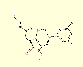 CCCCNC(=O)Cn1c(=O)n(CC)c2cc(-c3cc(Cl)cc(Cl)c3)cnc21